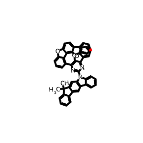 CC1(C)c2ccccc2-c2cc3c4ccccc4n(-c4nc(-c5cccc6oc7ccc8c9ccccc9oc8c7c56)c5oc6ccccc6c5n4)c3cc21